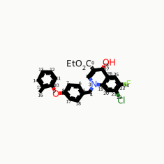 CCOC(=O)C1=CN(Cc2ccc(Oc3ccccc3C)cc2)c2cc(Cl)c(F)cc2C1O